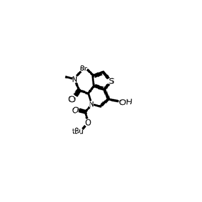 CN(C)C(=O)C1c2c(Br)csc2C(O)CN1C(=O)OC(C)(C)C